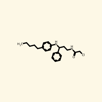 CCCCCc1ccc(NC(CCNC(=O)CCl)c2ccccc2)cc1